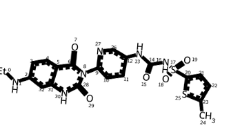 CCNc1ccc2c(=O)n(-c3ccc(NC(=O)NS(=O)(=O)c4ccc(C)s4)cn3)c(=O)[nH]c2c1